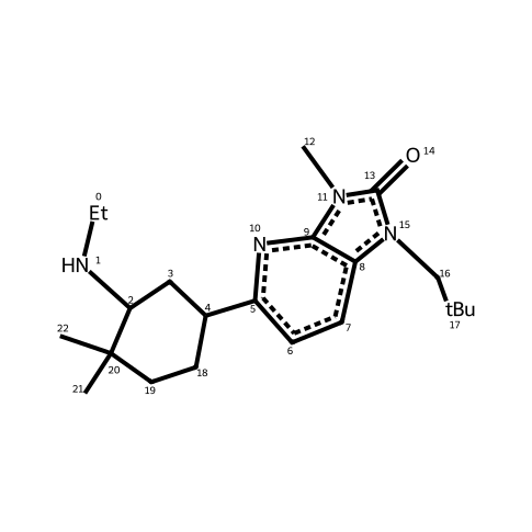 CCNC1CC(c2ccc3c(n2)n(C)c(=O)n3CC(C)(C)C)CCC1(C)C